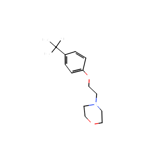 CC(C)(C)c1c[c]c(OCCN2CCOCC2)cc1